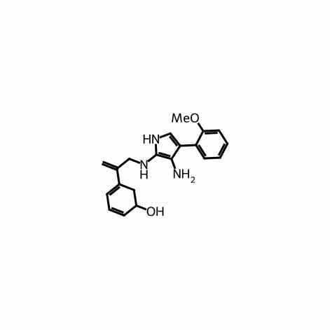 C=C(CNc1[nH]cc(-c2ccccc2OC)c1N)C1=CC=CC(O)C1